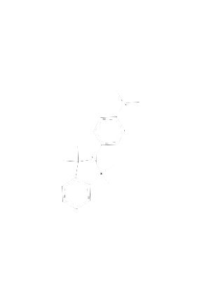 CN(C)c1ccc(N2C(C)(C)c3ccccc3C2(C)C)cc1